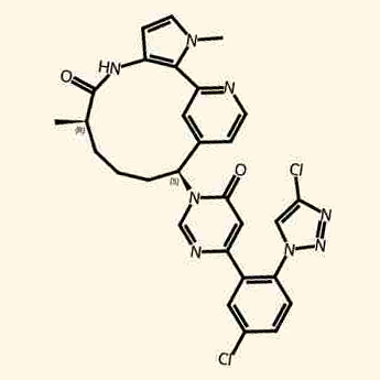 C[C@@H]1CCC[C@H](n2cnc(-c3cc(Cl)ccc3-n3cc(Cl)nn3)cc2=O)c2ccnc(c2)-c2c(ccn2C)NC1=O